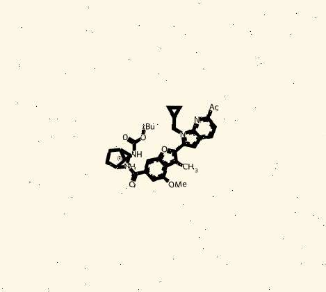 COc1cc(C(=O)N2CC3CCC2[C@@H]3NC(=O)OC(C)(C)C)cc2oc(-c3cc4ccc(C(C)=O)nc4n3CC3CC3)c(C)c12